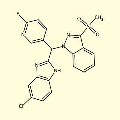 CS(=O)(=O)c1nn(C(c2ccc(F)nc2)c2nc3cc(Cl)ccc3[nH]2)c2ccccc12